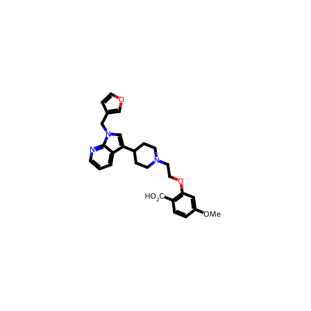 COc1ccc(C(=O)O)c(OCCN2CCC(c3cn(Cc4ccoc4)c4ncccc34)CC2)c1